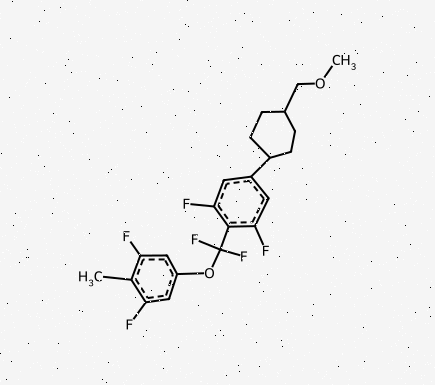 COCC1CCC(c2cc(F)c(C(F)(F)Oc3cc(F)c(C)c(F)c3)c(F)c2)CC1